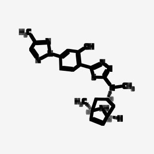 Cc1cnn(-c2ccc(-c3nnc(N(C)[C@@H]4C[C@H]5C=C[C@@](C)(C4)N5)s3)c(O)c2)n1